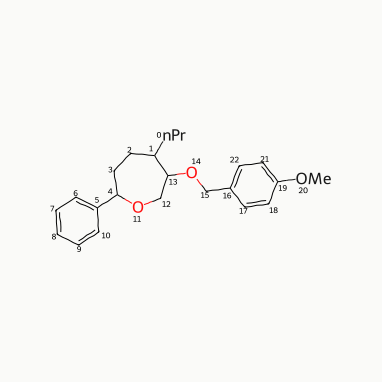 CCCC1CCC(c2ccccc2)OCC1OCc1ccc(OC)cc1